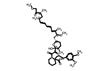 COCC(=O)[C@H](C)C[C@H](C)C=CC=CC=C(C)[C@H](C[C@@H]1CC[C@@H](C)[C@](O)(C(=O)C(=O)N2CCCCC2(CCCc2ccc(OC)c(OC)c2)C(=O)O)O1)OC